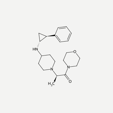 C[C@H](C(=O)N1CCOCC1)N1CCC(N[C@@H]2C[C@H]2c2ccccc2)CC1